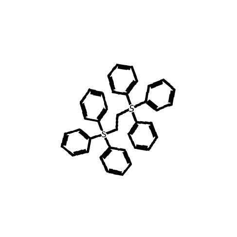 c1ccc(S(CCS(c2ccccc2)(c2ccccc2)c2ccccc2)(c2ccccc2)c2ccccc2)cc1